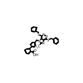 Cc1nc2c(SCc3ccccc3)nnc(SCc3ccccc3)c2n1Cc1ccc(-c2ccccc2C(=O)O)cc1